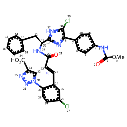 COC(=O)Nc1ccc(-c2nc([C@H](Cc3ccccc3)NC(=O)/C=C/c3cc(Cl)ccc3-n3cc(C(=O)O)nn3)[nH]c2Cl)cc1